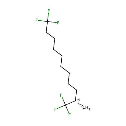 C[C@@H](CCCCCCCCC(F)(F)F)C(F)(F)F